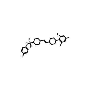 Cc1cc(F)c(C2CCC(/C=C/C3CCC(C(F)(F)Oc4ccc(F)cc4)CC3)CC2)c(F)c1